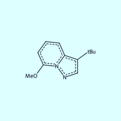 COc1cccc2c(C(C)(C)C)cnn12